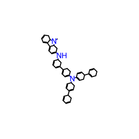 CN1C2CC=CC=C2C2=CC=C(NC3C=CC=C(C4=CC=C(N(C5=CCC(C6=CCCC=C6)C=C5)C5C=CC(C6C=CC=CC6)=CC5)CC4)C3)CC21